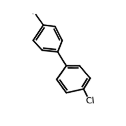 [CH2]c1ccc(-c2ccc(Cl)cc2)cc1